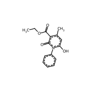 CCOC(=O)c1c(C)cc(O)n(-c2ccccc2)c1=O